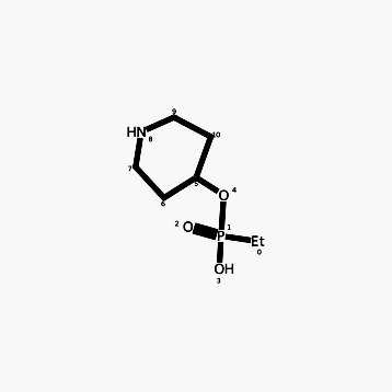 CCP(=O)(O)OC1CCNCC1